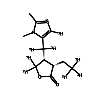 [2H]c1nc(C)n(C)c1C([2H])([2H])[C@@H]1[C@H](CC([2H])([2H])[2H])C(=O)OC1([2H])[2H]